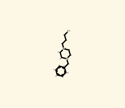 FCCCN1CCN(Cc2ccccc2)CC1